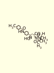 Cc1ccc(C(=O)Nc2ccc(/C(CC(CN3C(=O)N(C)C(C)(C)C3=O)C(=O)O)=N\O)cc2)cc1